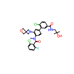 CN(C(=O)c1c(F)cccc1Cl)c1ccc(-c2cc(C(=O)NCC(C)(C)O)ccc2Cl)cc1N1CC2(COC2)C1